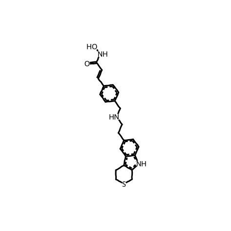 O=C(/C=C/c1ccc(CNCCc2ccc3[nH]c4c(c3c2)CCSC4)cc1)NO